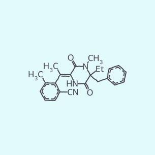 CCC1(Cc2ccccc2)C(=O)NC(=C(C)c2c(C)cccc2C#N)C(=O)N1C